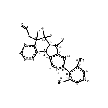 C=CCC1(C)c2ccccc2N2c3cnc(-c4c(C(C)C)cncc4C(C)C)nc3N(C)C2C1(C)C